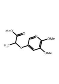 COC(=O)C(C)Sc1cnc(OC)c(OC)c1